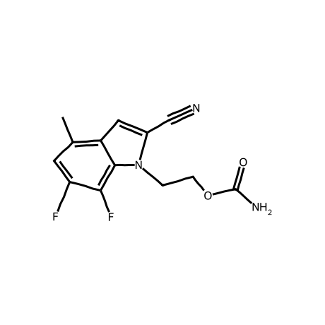 Cc1cc(F)c(F)c2c1cc(C#N)n2CCOC(N)=O